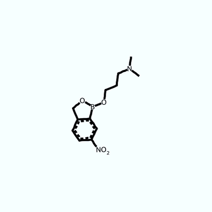 CN(C)CCCOB1OCc2ccc([N+](=O)[O-])cc21